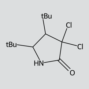 CC(C)(C)C1NC(=O)C(Cl)(Cl)C1C(C)(C)C